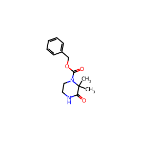 CC1(C)C(=O)NCCN1C(=O)OCc1ccccc1